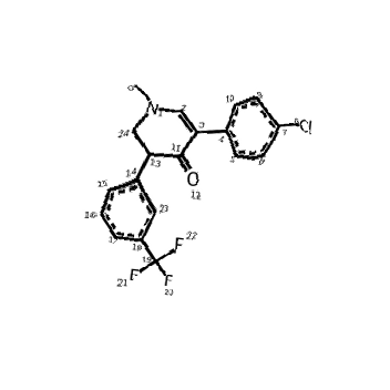 CN1C=C(c2ccc(Cl)cc2)C(=O)C(c2cccc(C(F)(F)F)c2)C1